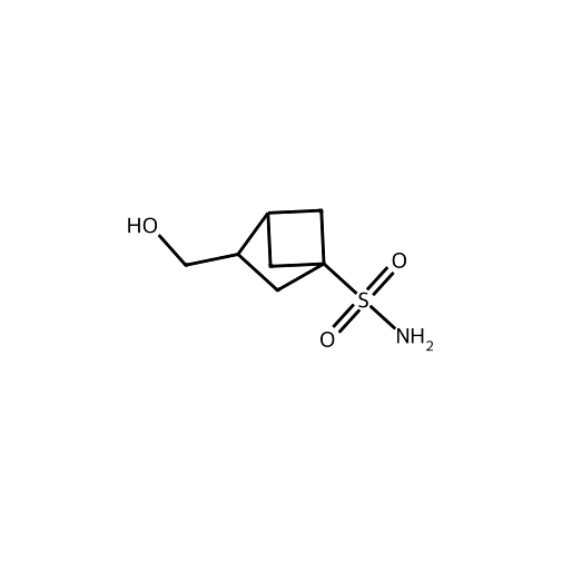 NS(=O)(=O)C12CC(CO)C(C1)C2